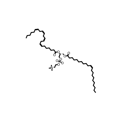 CCCCC/C=C\C/C=C\C/C=C\C/C=C\CCCCCC(=O)O[C@H](COC(=O)CCCCCCCCC/C=C\CCCCCCCCCC)COP(=O)([O-])OCC[N+](C)(C)C